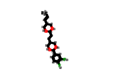 CC=CC1COC(CCC2COC(c3ccc(F)c(F)c3)OC2)OC1